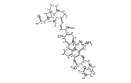 C=NC(/C=C\C=C(/CN(C)C)C(C)CN1CCCC2(C1)CN(CC(C)=O)C2)C1=CC=CC(c2cccc(C3=CN=C(CN4CC(C)(CN(C)C(C)=O)C4)CC(OC)=N3)c2-n2ccc(N)nc2=O)=CC1Cl